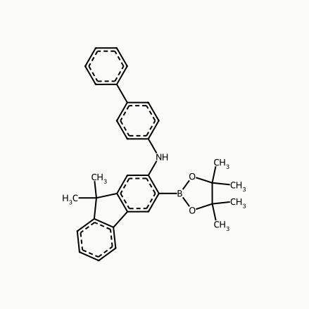 CC1(C)c2ccccc2-c2cc(B3OC(C)(C)C(C)(C)O3)c(Nc3ccc(-c4ccccc4)cc3)cc21